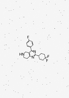 Fc1ccc(-c2nc(C3CCC(F)(F)CC3)nc3c2CNCC3)cc1